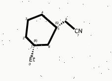 CC[C@@H]1CCC[C@H](CC#N)C1